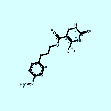 CSc1ccc(CCCOC(=O)C2=C(C)NC(=S)NC2)cc1